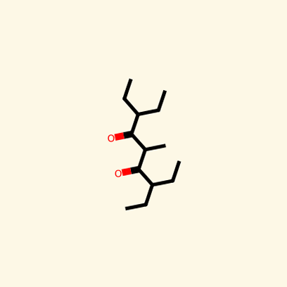 CCC(CC)C(=O)C(C)C(=O)C(CC)CC